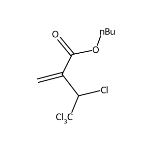 C=C(C(=O)OCCCC)C(Cl)C(Cl)(Cl)Cl